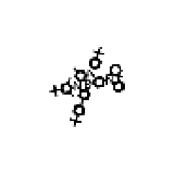 Cc1cc2c3c(c1)N(c1c(C)cc(C(C)(C)C)cc1C)c1cc(-c4ccc(C(C)(C)C)cc4)ccc1B3c1ccc(N3c4ccccc4C4(C)CCCCC34C)cc1N2c1ccc(C(C)(C)C)cc1